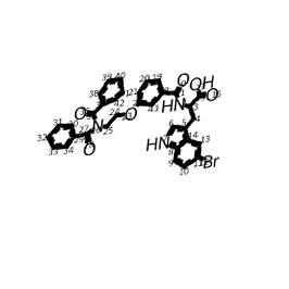 O=C(NC(Cc1c[nH]c2ccc(Br)cc12)C(=O)O)c1cccc(OCCN(C(=O)c2ccccc2)C(=O)c2ccccc2)c1